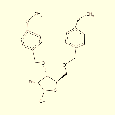 COc1ccc(COC[C@H]2SC(O)[C@H](F)[C@@H]2OCc2ccc(OC)cc2)cc1